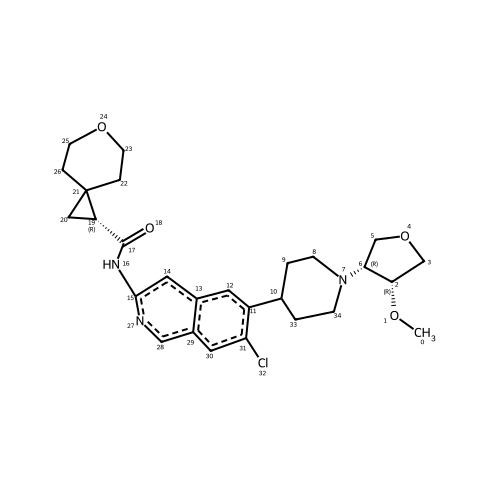 CO[C@H]1COC[C@H]1N1CCC(c2cc3cc(NC(=O)[C@@H]4CC45CCOCC5)ncc3cc2Cl)CC1